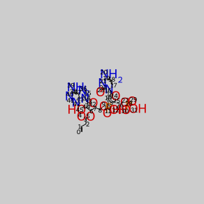 C=CCC(=O)O[C@@H]1C(COP(=O)(O)[C@H]2C[C@H](n3ccc(N)nc3=O)O[C@@H]2COP(=O)(O)O)O[C@@H](n2cnc3c(N)ncnc32)[C@@H]1O